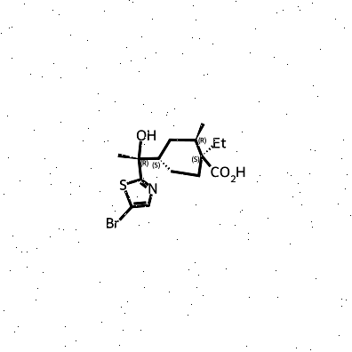 CC[C@]1(C(=O)O)CC[C@H]([C@@](C)(O)c2ncc(Br)s2)C[C@H]1C